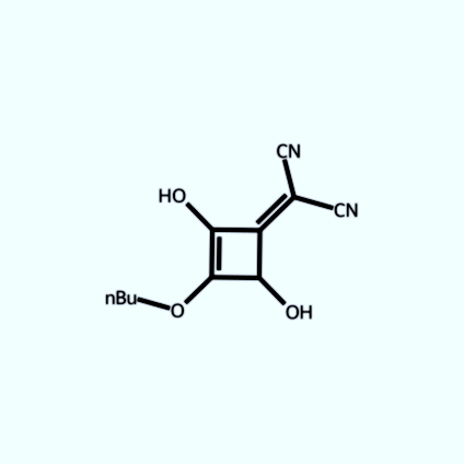 CCCCOC1=C(O)C(=C(C#N)C#N)C1O